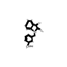 COc1cccc(CN2C(=O)C(=O)c3ccccc32)c1